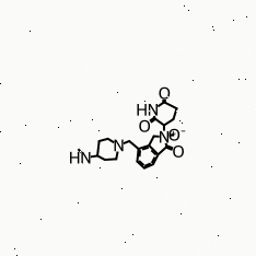 CNC1CCN(Cc2cccc3c2C[N+]([O-])(C2CCC(=O)NC2=O)C3=O)CC1